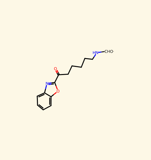 O=[C]NCCCCCC(=O)c1nc2ccccc2o1